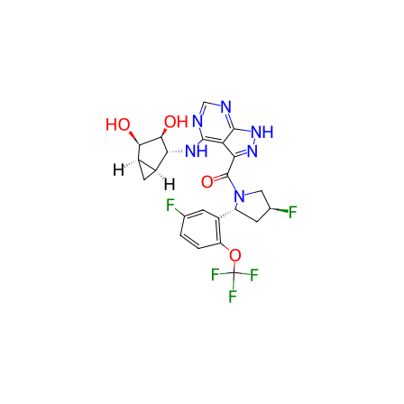 O=C(c1n[nH]c2ncnc(N[C@H]3[C@H](O)[C@H](O)[C@@H]4C[C@@H]43)c12)N1C[C@@H](F)C[C@@H]1c1cc(F)ccc1OC(F)(F)F